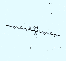 CCCCOCCOCCOC(=O)C(O)CC(=S)OCCOCCOCCCC